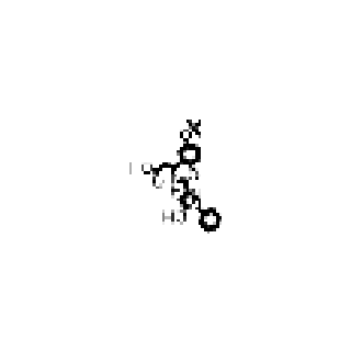 CC(C)(C)Oc1cccc(C(CC(=O)O)NC(=O)c2cc(O)n(-c3ccccc3)n2)c1